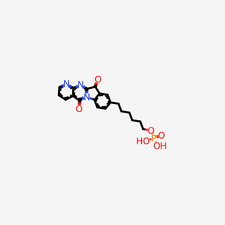 O=C1c2cc(CCCCCCOP(=O)(O)O)ccc2-n2c1nc1ncccc1c2=O